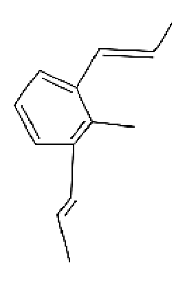 CC=Cc1cccc(C=CC)c1C